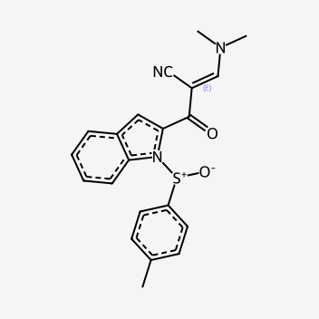 Cc1ccc([S+]([O-])n2c(C(=O)/C(C#N)=C/N(C)C)cc3ccccc32)cc1